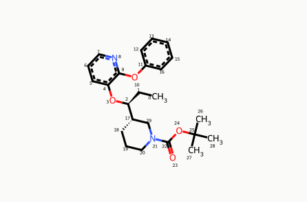 CC[C@H](Oc1cccnc1Oc1ccccc1)[C@H]1CCCN(C(=O)OC(C)(C)C)C1